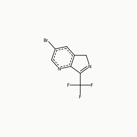 FC(F)(F)C1=NCc2cc(Br)cnc21